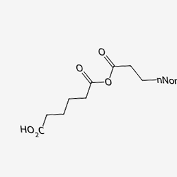 CCCCCCCCCCCC(=O)OC(=O)CCCCC(=O)O